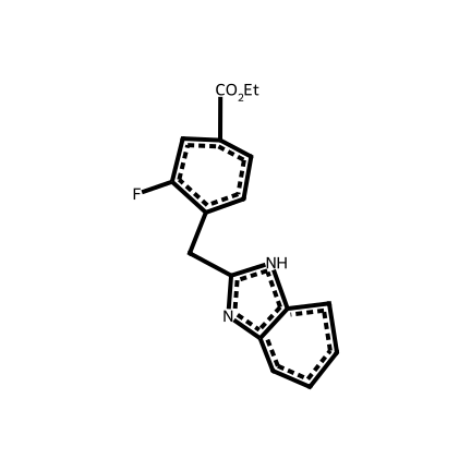 CCOC(=O)c1ccc(Cc2nc3ccccc3[nH]2)c(F)c1